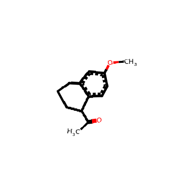 COc1ccc2c(c1)CCCC2C(C)=O